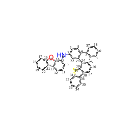 c1ccc(-c2ccc(Nc3cccc4c3oc3ccccc34)cc2-c2cccc3c2sc2ccccc23)cc1